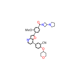 COc1cc(C(=O)N2CC(N3CCCC3)C2)ccc1-c1cc2nccc(-c3ccc(OC4CCOCC4)c(C#N)c3)c2o1